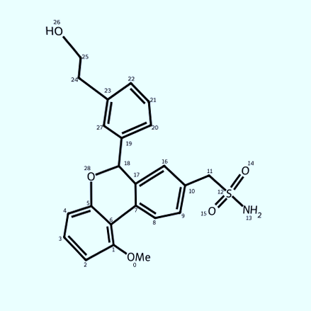 COc1cccc2c1-c1ccc(CS(N)(=O)=O)cc1C(c1cccc(CCO)c1)O2